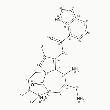 CC1=CC23CCC(C)C(C)(C)C(N)(C=C(CN)C(N)C2=C1OC(=O)c1cccc2cc[nH]c12)C3=O